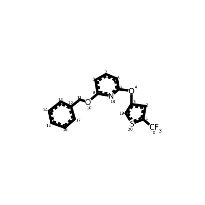 FC(F)(F)c1cc(Oc2cccc(OCc3ccccc3)n2)cs1